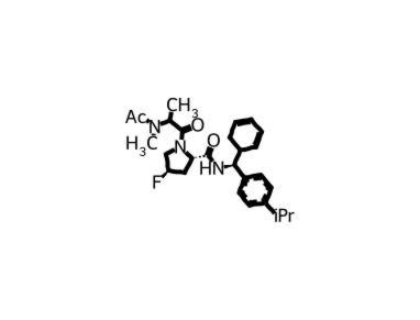 CC(=O)N(C)C(C)C(=O)N1C[C@H](F)C[C@H]1C(=O)N[C@H](c1ccc(C(C)C)cc1)C1C=CC=CC1